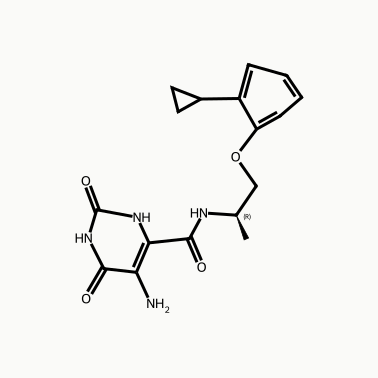 C[C@H](COc1ccccc1C1CC1)NC(=O)c1[nH]c(=O)[nH]c(=O)c1N